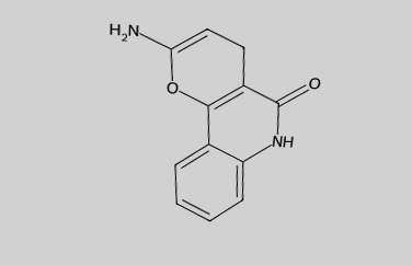 NC1=CCc2c(c3ccccc3[nH]c2=O)O1